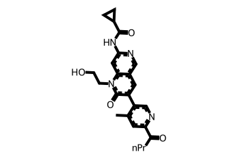 CCCC(=O)c1cc(C)c(-c2cc3cnc(NC(=O)C4CC4)cc3n(CCO)c2=O)cn1